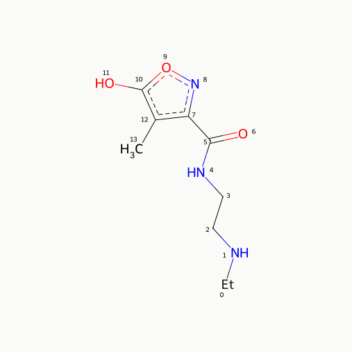 CCNCCNC(=O)c1noc(O)c1C